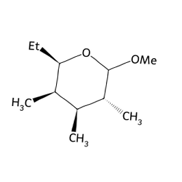 CC[C@H]1OC(OC)[C@H](C)[C@@H](C)[C@H]1C